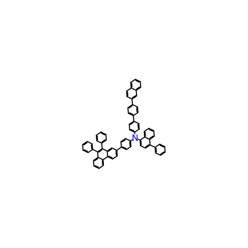 c1ccc(-c2ccc(N(c3ccc(-c4ccc(-c5ccc6ccccc6c5)cc4)cc3)c3ccc(-c4ccc5c(c4)c(-c4ccccc4)c(-c4ccccc4)c4ccccc45)cc3)c3ccccc23)cc1